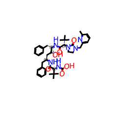 Cc1cccc(CN2CCN([C@H](C(=O)N[C@@H](Cc3ccccc3)[C@@H](O)C[C@H](Cc3ccccc3)NC(=O)[C@@H](NC(=O)O)C(C)(C)C)C(C)(C)C)C2=O)n1